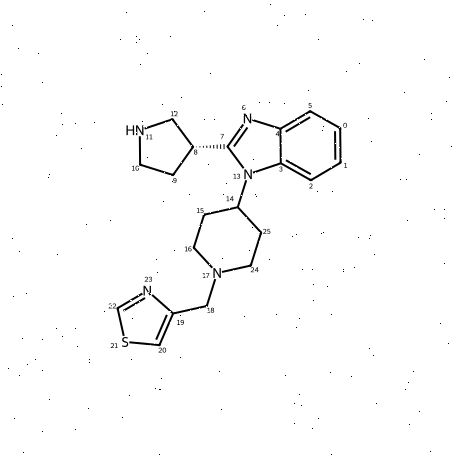 c1ccc2c(c1)nc([C@@H]1CCNC1)n2C1CCN(Cc2cscn2)CC1